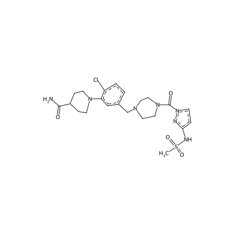 CS(=O)(=O)Nc1ccn(C(=O)N2CCN(Cc3ccc(Cl)c(N4CCC(C(N)=O)CC4)c3)CC2)n1